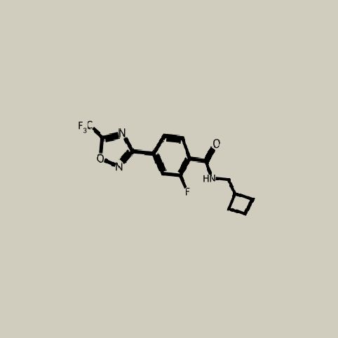 O=C(NCC1CCC1)c1ccc(-c2noc(C(F)(F)F)n2)cc1F